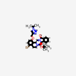 CC(C)n1cc(COc2ccc(Br)c3c2[C@@H](CN2C(=O)c4ccccc4C2=O)N(C(=O)OC(C)(C)C)CC3)nn1